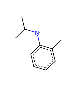 Cc1ccccc1[N]C(C)C